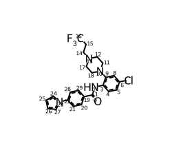 O=C(Nc1ccc(Cl)cc1N1CCN(CCC(F)(F)F)CC1)c1ccc(-n2cccc2)cc1